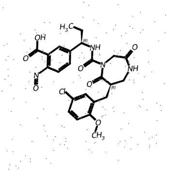 CC[C@@H](NC(=O)N1CC(=O)NC[C@@H](Cc2cc(Cl)ccc2OC)C1=O)c1ccc(N=O)c(C(=O)O)c1